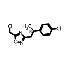 C[C@H](Cc1noc(CCl)n1)c1ccc(Cl)cc1